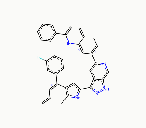 C=C/C=C(/c1cccc(F)c1)c1cc(-c2n[nH]c3cnc(C(/C=C(\C=C)NC(=C)c4ccccc4)=C/C)cc23)[nH]c1C